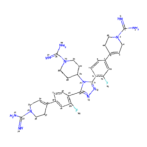 N=C(N)N1CC=C(c2ccc(-c3nnc(-c4ccc(C5=CCN(C(=N)N)CC5)cc4F)n3C3CCN(C(=N)N)CC3)c(F)c2)CC1